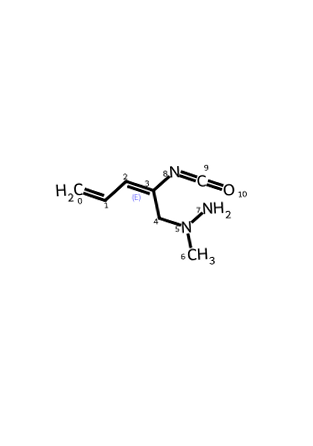 C=C/C=C(\CN(C)N)N=C=O